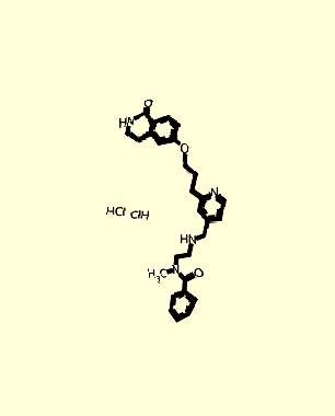 CN(CCNCc1ccnc(CCCOc2ccc3c(c2)CCNC3=O)c1)C(=O)c1ccccc1.Cl.Cl